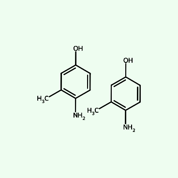 Cc1cc(O)ccc1N.Cc1cc(O)ccc1N